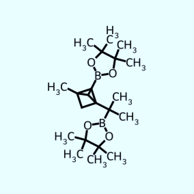 CC12CC(C(C)(C)B3OC(C)(C)C(C)(C)O3)(C1)C2B1OC(C)(C)C(C)(C)O1